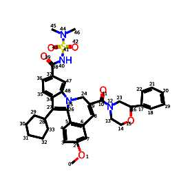 COc1ccc2c(c1)C=C(C(=O)N1CCOC(c3ccccc3)C1)Cn1c-2c(C2CCCCC2)c2ccc(C(=O)NS(=O)(=O)N(C)C)cc21